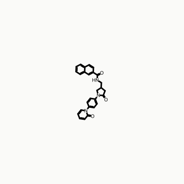 O=C(NCC1CC(=O)N(c2ccc(-n3ccccc3=O)cc2)C1)c1ccc2ccccc2c1